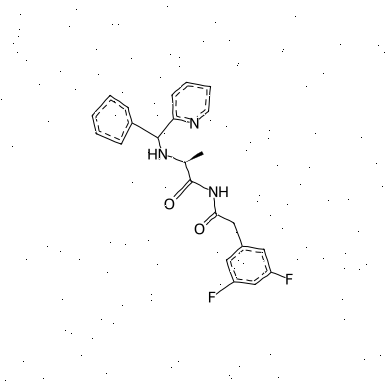 C[C@H](NC(c1ccccc1)c1ccccn1)C(=O)NC(=O)Cc1cc(F)cc(F)c1